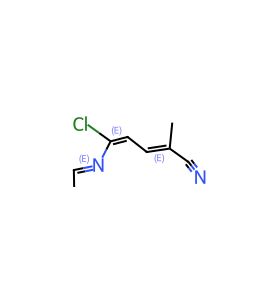 C/C=N/C(Cl)=C\C=C(/C)C#N